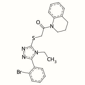 CCn1c(SCC(=O)N2CCCc3ccccc32)nnc1-c1ccccc1Br